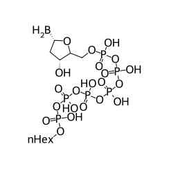 B[C@H]1C[C@@H](O)C(COP(=O)(O)OP(=O)(O)OP(=O)(O)OP(=O)(O)OP(=O)(O)OP(=O)(O)OCCCCCC)O1